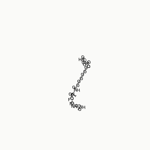 Nc1ncc(-c2ccc([S+]([O-])N(CCCNC(=O)CCOCCOCCOCCOCCOCCOc3cccc4c3C(=O)N(C3CCC(=O)NC3=O)C4=O)C3CC3)cc2F)cc1-c1ccc2c(c1)CCNC2=O